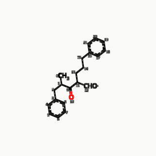 CC(Cc1ccccc1)C(=O)C([C]=O)CCCc1ccccc1